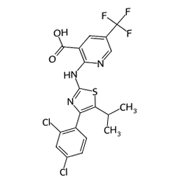 CC(C)c1sc(Nc2ncc(C(F)(F)F)cc2C(=O)O)nc1-c1ccc(Cl)cc1Cl